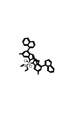 CCC1=Cc2c(-c3cccc4ccccc34)cc(C)cc2[CH]1[Zr]([Cl])([Cl])([CH]1C(C)=Cc2c(-c3cccc4ccccc34)cc(C)cc21)[SiH](CC)CC